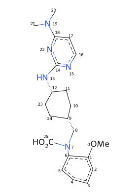 COc1ccccc1N(C[C@H]1CC[C@@H](Nc2nccc(N(C)C)n2)CC1)C(=O)O